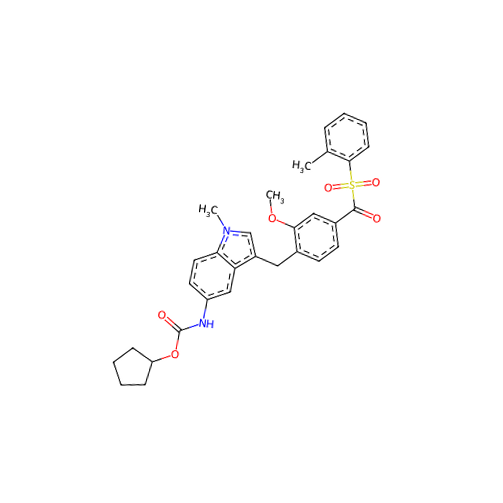 COc1cc(C(=O)S(=O)(=O)c2ccccc2C)ccc1Cc1cn(C)c2ccc(NC(=O)OC3CCCC3)cc12